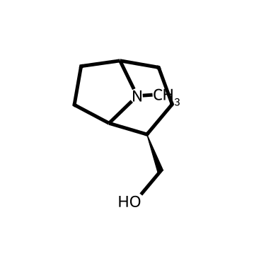 CN1C2CCC1[C@H](CO)CC2